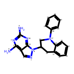 Nc1nc(N)c2cnn(C3Cc4ccccc4N(c4ccccc4)C3)c2n1